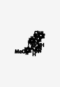 COc1ccc(CNc2ncnc(NC(C)c3cc4cccc(Cl)c4c(=O)n3-c3ccccc3)c2C(C)=O)cc1